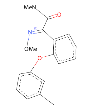 CNC(=O)/C(=N/OC)c1ccccc1Oc1cccc(C)c1